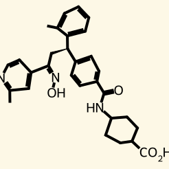 Cc1cc(C(C[C@H](c2ccc(C(=O)NC3CCC(C(=O)O)CC3)cc2)c2ccccc2C)=NO)ccn1